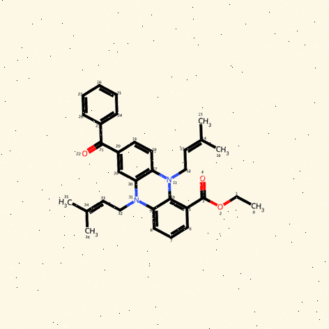 CCOC(=O)c1cccc2c1N(CC=C(C)C)c1ccc(C(=O)c3ccccc3)cc1N2CC=C(C)C